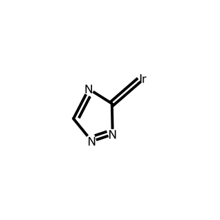 [Ir]=[C]1N=CN=N1